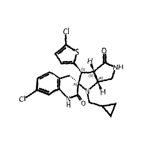 O=C1NC[C@H]2[C@@H]1[C@H](c1ccc(Cl)s1)[C@@]1(Cc3ccc(Cl)cc3NC1=O)N2CC1CC1